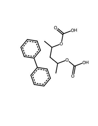 CC(CC(C)OC(=O)O)OC(=O)O.c1ccc(-c2ccccc2)cc1